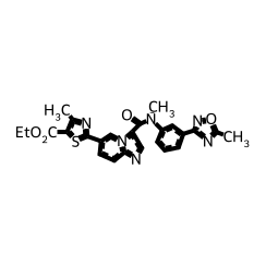 CCOC(=O)c1sc(-c2ccc3ncc(C(=O)N(C)c4cccc(-c5noc(C)n5)c4)n3c2)nc1C